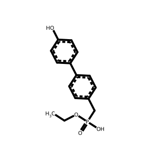 CCOP(=O)(O)Cc1ccc(-c2ccc(O)cc2)cc1